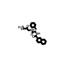 NNC(=O)CNC(=O)[C@H](Cc1ccccc1)NC(=O)c1ccc2ccccc2c1